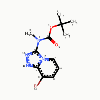 CN(C(=O)OC(C)(C)C)c1nnc2c(Br)cccn12